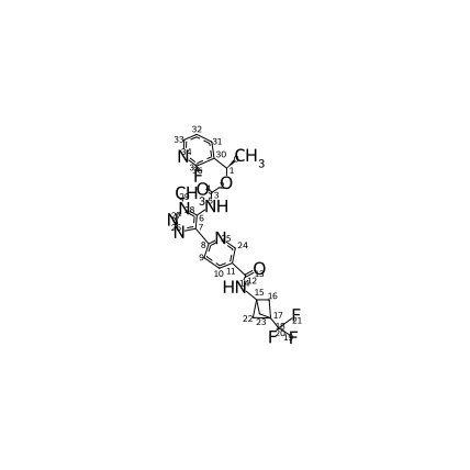 C[C@@H](OC(=O)Nc1c(-c2ccc(C(=O)NC34CC(C(F)(F)F)(C3)C4)cn2)nnn1C)c1cccnc1F